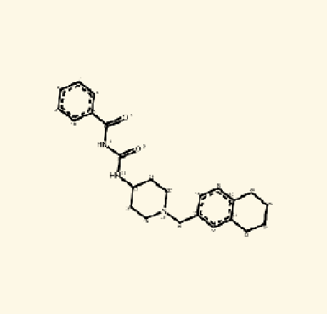 O=C(NC(=O)c1ccccc1)NC1CCN(Cc2ccc3c(c2)CCCC3)CC1